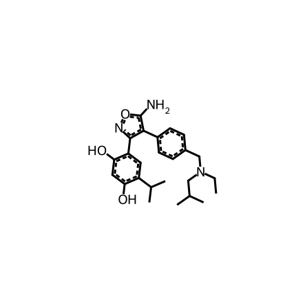 CCN(Cc1ccc(-c2c(-c3cc(C(C)C)c(O)cc3O)noc2N)cc1)CC(C)C